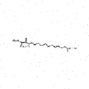 CCCCCCNCCCCCCCCCCCNC(=O)C(CCCCC)CCCCCC